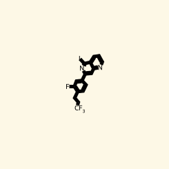 Fc1cc(-c2cc3ncccc3c(I)n2)ccc1CCC(F)(F)F